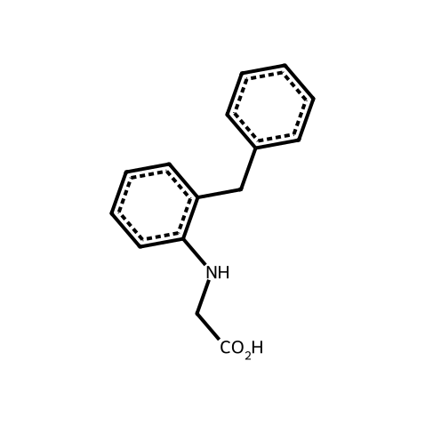 O=C(O)CNc1ccccc1Cc1ccccc1